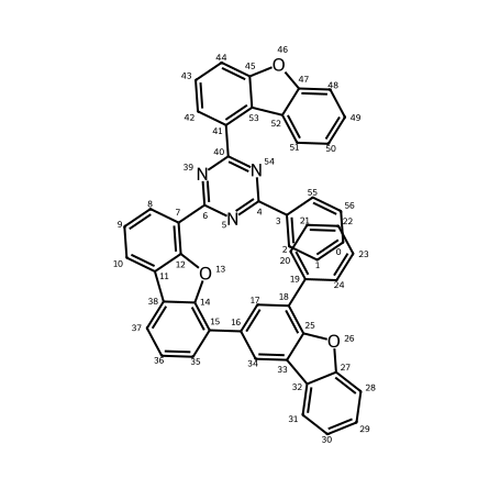 c1ccc(-c2nc(-c3cccc4c3oc3c(-c5cc(-c6ccccc6)c6oc7ccccc7c6c5)cccc34)nc(-c3cccc4oc5ccccc5c34)n2)cc1